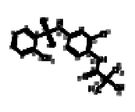 Cc1ccccc1S(=O)(=O)Nc1ccc(NC(=O)C(C)(O)C(F)(F)F)c(Cl)c1